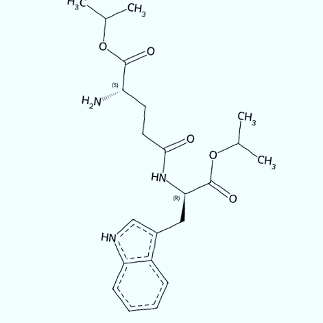 CC(C)OC(=O)[C@@H](N)CCC(=O)N[C@H](Cc1c[nH]c2ccccc12)C(=O)OC(C)C